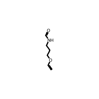 C=COCCCNC=O